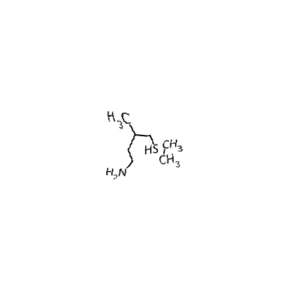 CC.CC(CS)CCN